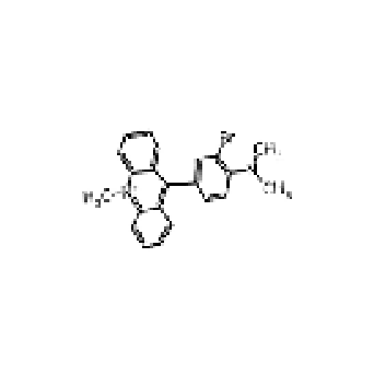 CN(C)c1ccc(-c2c3ccccc3[n+](C)c3ccccc23)cc1Br